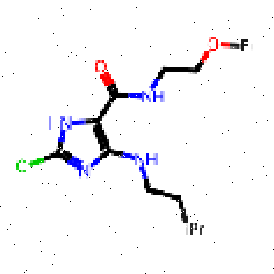 CCOCCNC(=O)c1[nH]c(Cl)nc1NCCC(C)C